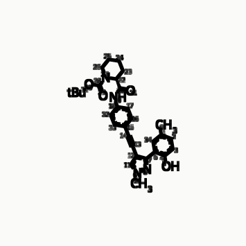 Cc1ccc(O)c(-c2nn(C)cc2C#Cc2ccc(NC(=O)[C@@H]3CCCCN3C(=O)OC(C)(C)C)cc2)c1